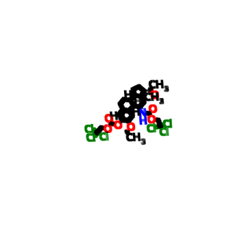 CCOC1C[C@@]2(C)C(CC[C@H]3[C@@H]4CC[C@H](C(C)=O)[C@@]4(C)CC(NC(=O)OCC(Cl)(Cl)Cl)[C@@H]32)CC1OC(=O)OCC(Cl)(Cl)Cl